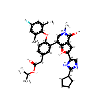 Cc1cc(F)cc(C)c1Oc1ccc(CC(=O)OC(C)C)cc1-c1cn(C)c(=O)c2cc(-c3cnc(C4CCCC4)[nH]3)oc12